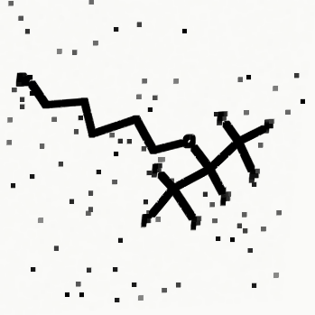 FC(F)(F)C(F)(OCCCCCBr)C(F)(F)F